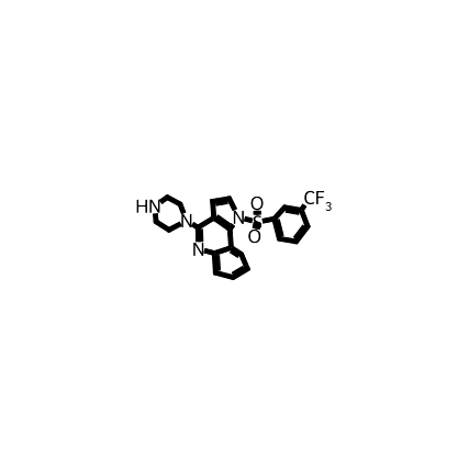 O=S(=O)(c1cccc(C(F)(F)F)c1)n1ccc2c(N3CCNCC3)nc3ccccc3c21